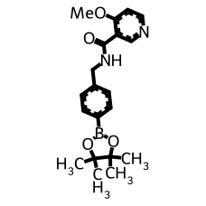 COc1ccncc1C(=O)NCc1ccc(B2OC(C)(C)C(C)(C)O2)cc1